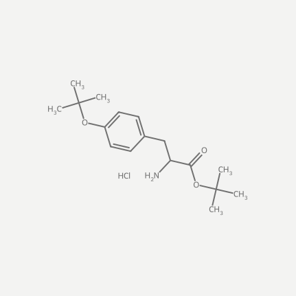 CC(C)(C)OC(=O)C(N)Cc1ccc(OC(C)(C)C)cc1.Cl